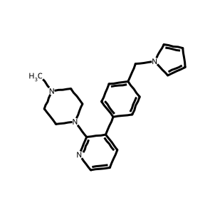 CN1CCN(c2ncccc2-c2ccc(Cn3cccc3)cc2)CC1